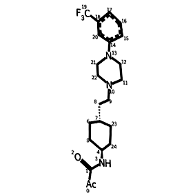 CC(=O)C(=O)N[C@H]1CC[C@H](CCN2CCN(c3cccc(C(F)(F)F)c3)CC2)CC1